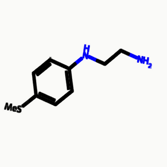 CSc1c[c]c(NCCN)cc1